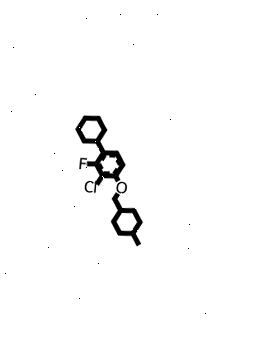 CC1CCC(COc2ccc(C3CCCCC3)c(F)c2Cl)CC1